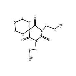 O=C1N(CCO)C(=S)N(CCO)C(=O)C12CCOCC2